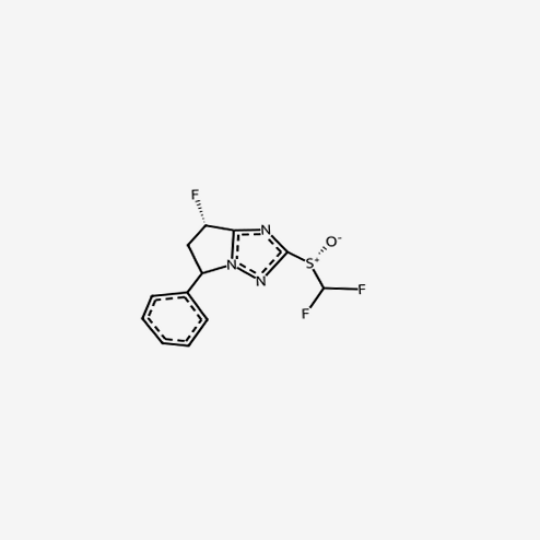 [O-][S@@+](c1nc2n(n1)C(c1ccccc1)C[C@@H]2F)C(F)F